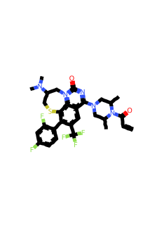 C=CC(=O)N1C(C)CN(c2nc(=O)n3c4c(c(-c5ccc(F)cc5F)c(C(F)(F)F)cc24)SCC(N(C)C)C3)CC1C